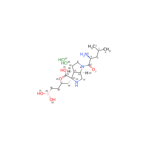 CC(C)C[C@H](N)C(=O)N1CC[C@H]2[C@@H]1CN[C@@]2(CCCCB(O)O)C(=O)O.Cl.Cl